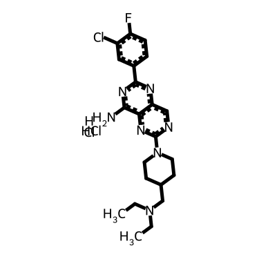 CCN(CC)CC1CCN(c2ncc3nc(-c4ccc(F)c(Cl)c4)nc(N)c3n2)CC1.Cl.Cl